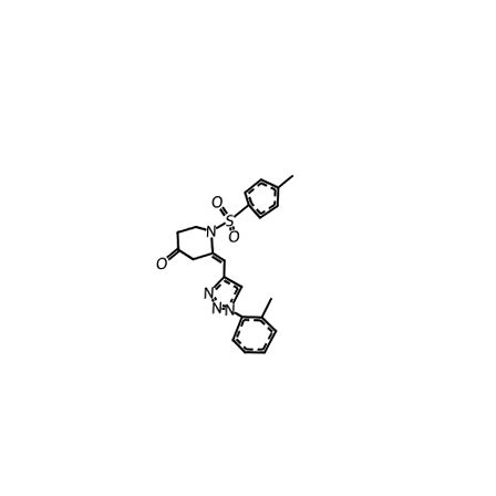 Cc1ccc(S(=O)(=O)N2CCC(=O)CC2=Cc2cn(-c3ccccc3C)nn2)cc1